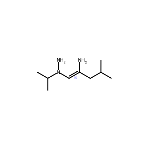 CC(C)C/C(N)=C/N(N)C(C)C